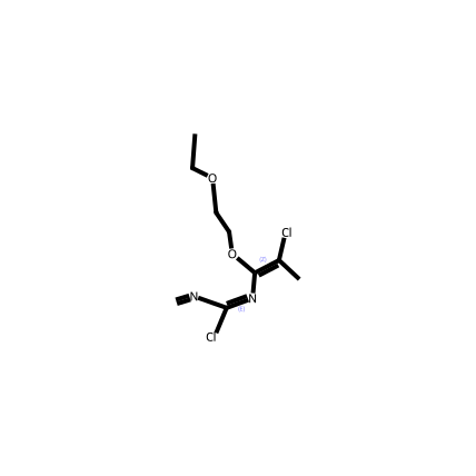 C=N/C(Cl)=N\C(OCCOCC)=C(/C)Cl